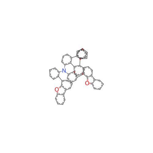 c1ccc(-c2ccccc2-c2c(-c3ccccc3)cccc2N(c2cccc(-c3cccc4c3oc3ccccc34)c2)c2ccccc2-c2cccc3c2oc2ccccc23)cc1